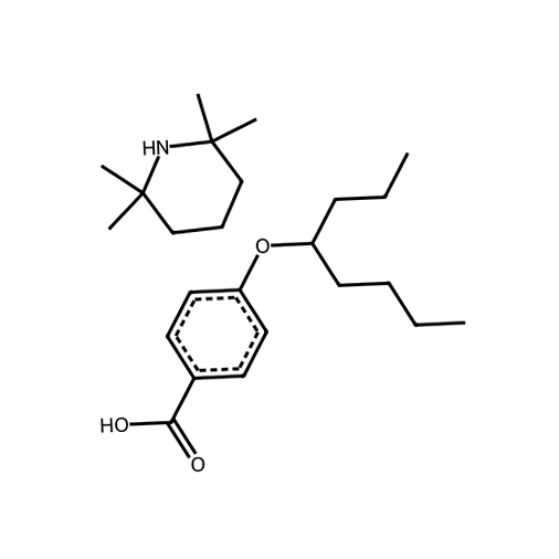 CC1(C)CCCC(C)(C)N1.CCCCC(CCC)Oc1ccc(C(=O)O)cc1